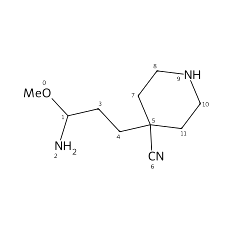 COC(N)CCC1(C#N)CCNCC1